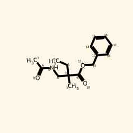 CCC(C)(CNC(C)=O)C(=O)OCc1ccccc1